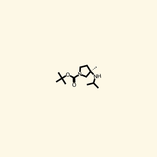 CC(C)N[C@]1(C)CCN(C(=O)OC(C)(C)C)C1